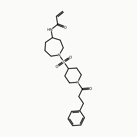 C=CC(=O)NC1CCCN(S(=O)(=O)C2CCN(C(=O)CCc3ccccc3)CC2)CC1